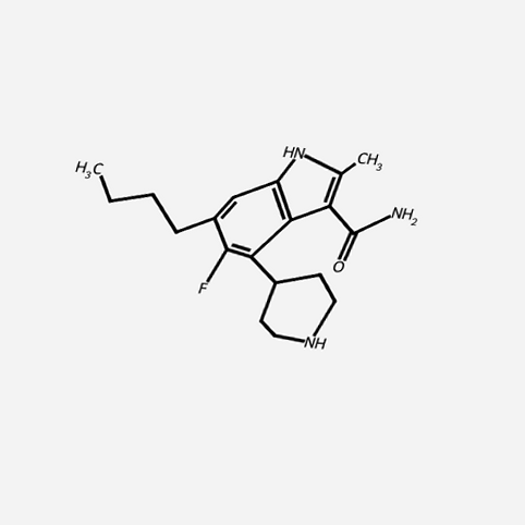 CCCCc1cc2[nH]c(C)c(C(N)=O)c2c(C2CCNCC2)c1F